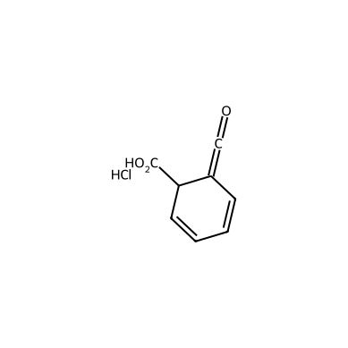 Cl.O=C=C1C=CC=CC1C(=O)O